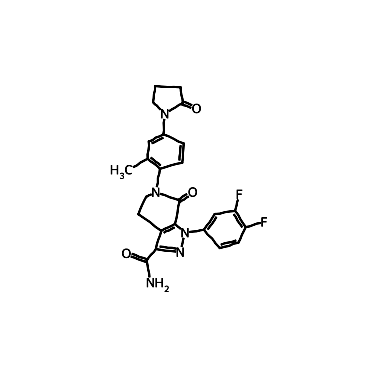 Cc1cc(N2CCCC2=O)ccc1N1CCc2c(C(N)=O)nn(-c3ccc(F)c(F)c3)c2C1=O